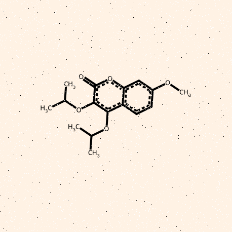 COc1ccc2c(OC(C)C)c(OC(C)C)c(=O)oc2c1